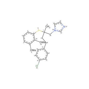 COc1cccc(SC(C)(CCc2ccc(Cl)cc2)Cn2ccnc2)c1OC